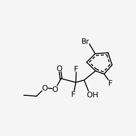 CCOOC(=O)C(F)(F)C(O)c1cc(Br)ccc1F